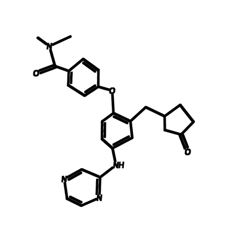 CN(C)C(=O)c1ccc(Oc2ccc(Nc3cnccn3)cc2CC2CCC(=O)C2)cc1